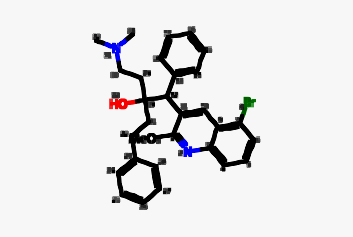 COc1nc2cccc(Br)c2cc1C(c1ccccc1)C(O)(CCc1ccccc1)CCN(C)C